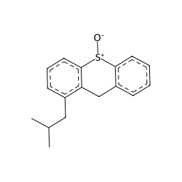 CC(C)Cc1cccc2c1Cc1ccccc1[S+]2[O-]